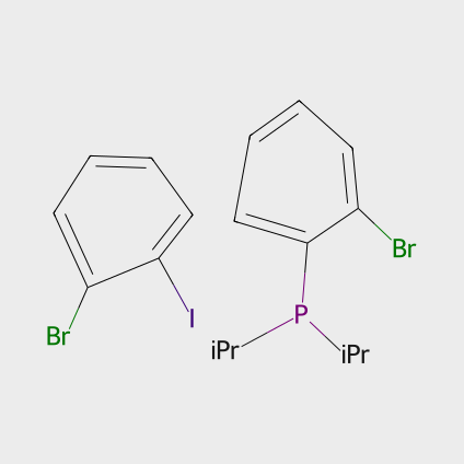 Brc1ccccc1I.CC(C)P(c1ccccc1Br)C(C)C